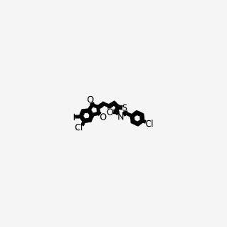 O=C1/C(=C\c2cc3sc(-c4ccc(Cl)cc4)nc3o2)C(=O)c2cc(I)c(Cl)cc21